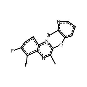 Cc1nc2c(F)c(F)ccc2nc1Oc1cccnc1Br